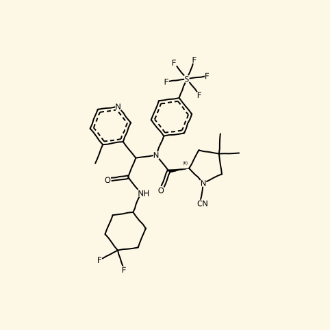 Cc1ccncc1C(C(=O)NC1CCC(F)(F)CC1)N(C(=O)[C@H]1CC(C)(C)CN1C#N)c1ccc(S(F)(F)(F)(F)F)cc1